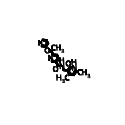 Cc1cc(C)c(CNC(=O)c2ccc(C(C)Oc3cccnc3)nc2)c(=O)[nH]1